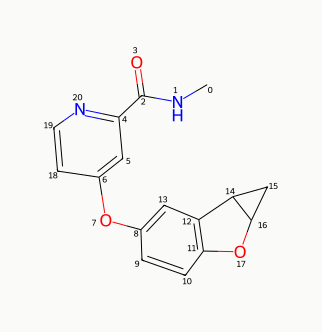 CNC(=O)c1cc(Oc2ccc3c(c2)C2CC2O3)ccn1